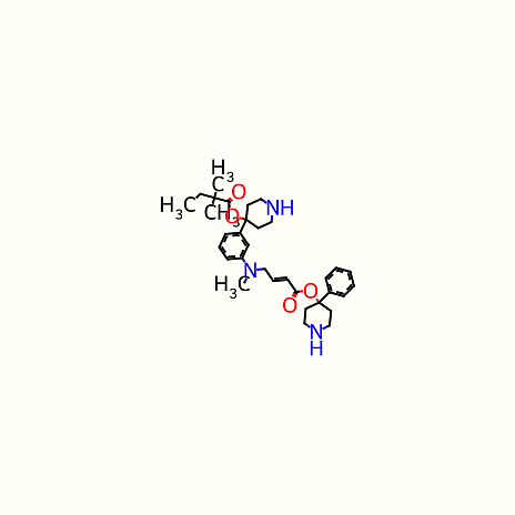 CCC(C)(C)C(=O)OC1(c2cccc(N(C)C/C=C/C(=O)OC3(c4ccccc4)CCNCC3)c2)CCNCC1